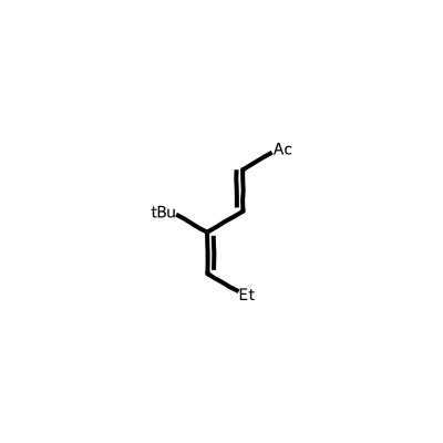 CCC=C(C=CC(C)=O)C(C)(C)C